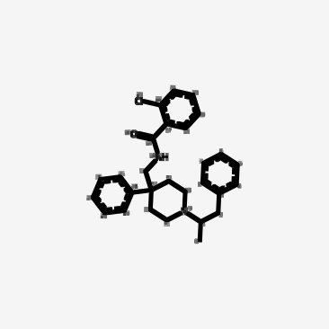 CC(Cc1ccccc1)N1CCC(CNC(=O)c2ccccc2Cl)(c2ccccc2)CC1